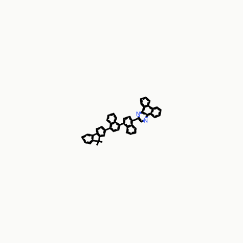 CC1(C)c2ccccc2-c2ccc(-c3ccc(-c4ccc(-c5cnc6c7ccccc7c7ccccc7c6n5)c5ccccc45)c4ccccc34)cc21